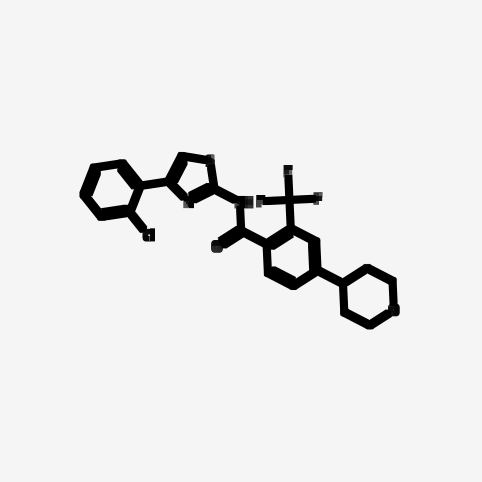 O=C(Nc1nc(-c2ccccc2Cl)cs1)c1ccc(C2CCOCC2)cc1C(F)(F)F